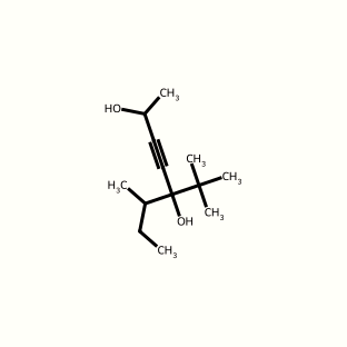 CCC(C)C(O)(C#CC(C)O)C(C)(C)C